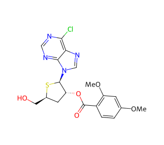 COc1ccc(C(=O)O[C@@H]2C[C@@H](CO)S[C@H]2n2cnc3c(Cl)ncnc32)c(OC)c1